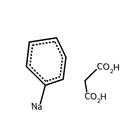 O=C(O)CC(=O)O.[Na][c]1ccccc1